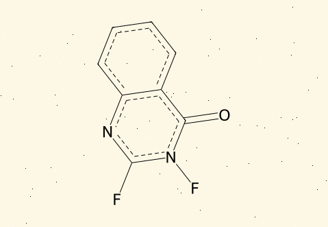 O=c1c2ccccc2nc(F)n1F